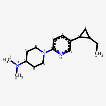 CCC1CC1c1ccc(N2CCC(N(C)C)CC2)nc1